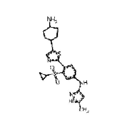 Cc1cc(Nc2ccc(-c3ncc(C4CCC(N)CC4)s3)c(S(=O)(=O)C3CC3)c2)n[nH]1